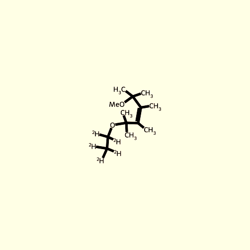 [2H]C([2H])([2H])C([2H])([2H])OC(C)(C)/C(C)=C(/C)C(C)(C)OC